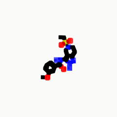 CCS(=O)(=O)N1CCc2n[nH]c(NC(=O)c3cccc(OC)c3)c2C1